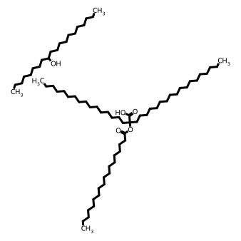 CCCCCCCCCCCC(O)CCCCCCCC.CCCCCCCCCCCCCCCCCCC(CCCCCCCCCCCCCCCC)(OC(=O)CCCCCCCCCCCCCCCCC)C(=O)O